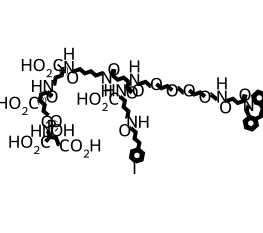 O=C(O)CCC(NP(=O)(O)OCCC[C@H](CC(=O)NCCC[C@H](NC(=O)CCCCCNC(=O)CCC(NC(=O)CCOCCOCCOCCOCCNC(=O)CCC(=O)N1Cc2ccccc2C#Cc2ccccc21)C(=O)NC(CCCCNC(=O)CCCc1ccc(I)cc1)C(=O)O)C(=O)O)C(=O)O)C(=O)O